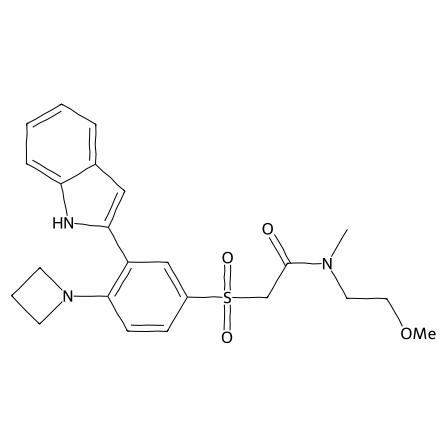 COCCN(C)C(=O)CS(=O)(=O)c1ccc(N2CCC2)c(-c2cc3ccccc3[nH]2)c1